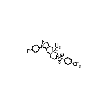 C[C@]12Cc3cnn(-c4ccc(F)cc4)c3C=C1CCN(S(=O)(=O)c1ccc(C(F)(F)F)cc1)C2